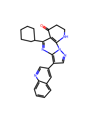 O=C1CCNc2c1c(C1CCCCC1)nc1c(-c3cnc4ccccc4c3)cnn21